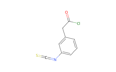 O=C(Cl)Cc1cccc(N=C=S)c1